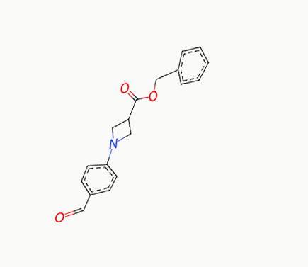 O=Cc1ccc(N2CC(C(=O)OCc3ccccc3)C2)cc1